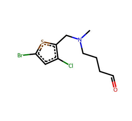 CN(CCCC=O)Cc1sc(Br)cc1Cl